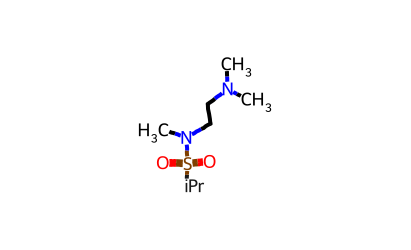 CC(C)S(=O)(=O)N(C)CCN(C)C